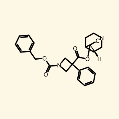 O=C(OCc1ccccc1)N1CC(C(=O)O[C@H]2CN3CCC2CC3)(c2ccccc2)C1